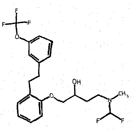 CN(CCC(O)COc1ccccc1CCc1cccc(OC(F)(F)F)c1)C(F)F